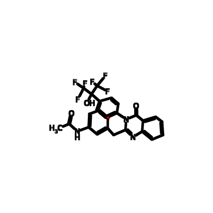 CC(=O)Nc1cccc(Cc2nc3ccccc3c(=O)n2-c2ccc(C(O)(C(F)(F)F)C(F)(F)F)cc2)c1